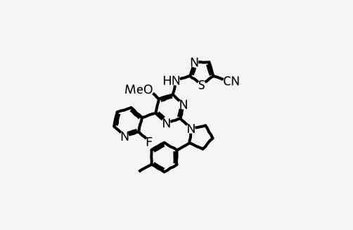 COc1c(Nc2ncc(C#N)s2)nc(N2CCCC2c2ccc(C)cc2)nc1-c1cccnc1F